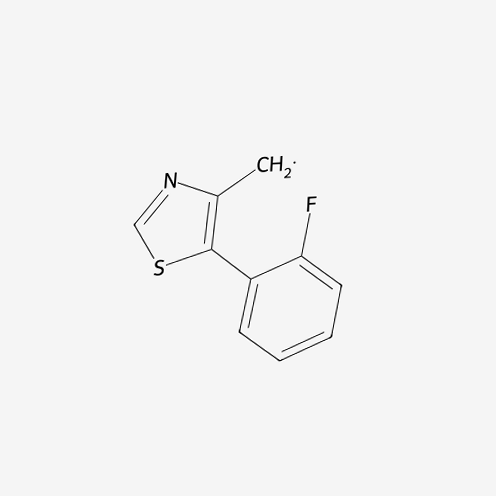 [CH2]c1ncsc1-c1ccccc1F